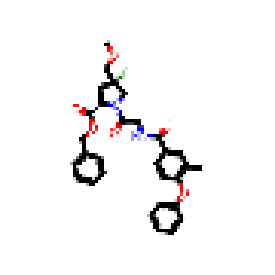 COC[C@@]1(F)C[C@@H](C(=O)OCc2ccccc2)N(C(=O)CNC(=O)c2ccc(Oc3ccccc3)c(C)c2)C1